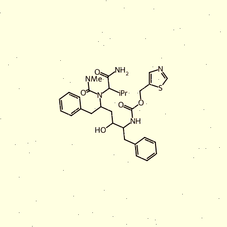 CNC(=O)N(C(Cc1ccccc1)CC(O)C(Cc1ccccc1)NC(=O)OCc1cncs1)C(C(N)=O)C(C)C